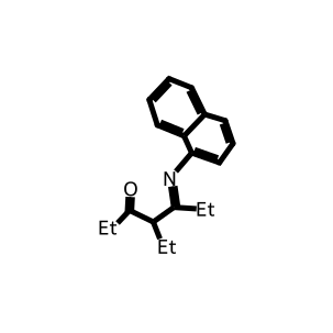 CCC(=O)C(CC)C(CC)=Nc1cccc2ccccc12